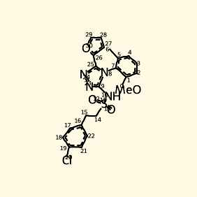 COc1cccc(C)c1-n1c(NS(=O)(=O)CCc2ccc(Cl)cc2)nnc1-c1ccco1